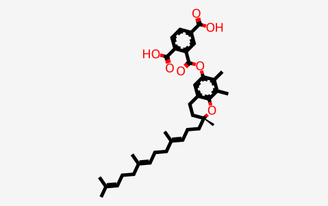 CC(C)=CCC/C(C)=C/CC/C(C)=C/CC[C@]1(C)CCc2cc(OC(=O)c3cc(C(=O)O)ccc3C(=O)O)c(C)c(C)c2O1